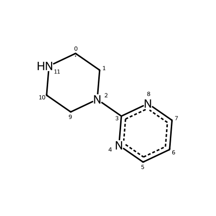 [CH]1CN(c2ncccn2)CCN1